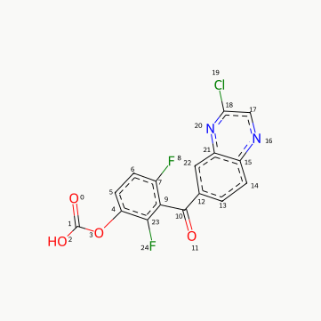 O=C(O)Oc1ccc(F)c(C(=O)c2ccc3ncc(Cl)nc3c2)c1F